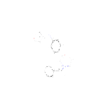 C[C@H](c1ccccc1)N1CCO[C@@H](c2ccc(N(C)[C@@H]3CCOC3)cc2)C1